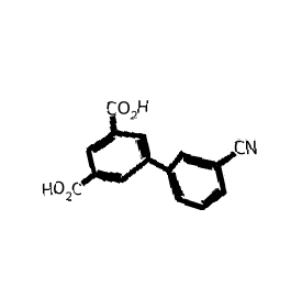 N#Cc1cccc(-c2cc(C(=O)O)cc(C(=O)O)c2)c1